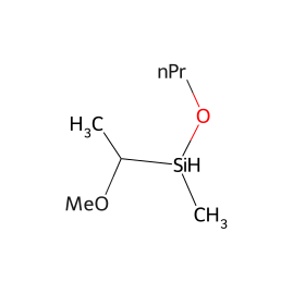 CCCO[SiH](C)C(C)OC